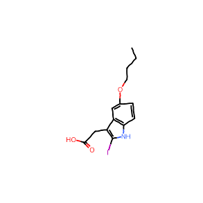 CCCCOc1ccc2[nH]c(I)c(CC(=O)O)c2c1